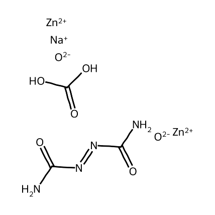 NC(=O)N=NC(N)=O.O=C(O)O.[Na+].[O-2].[O-2].[Zn+2].[Zn+2]